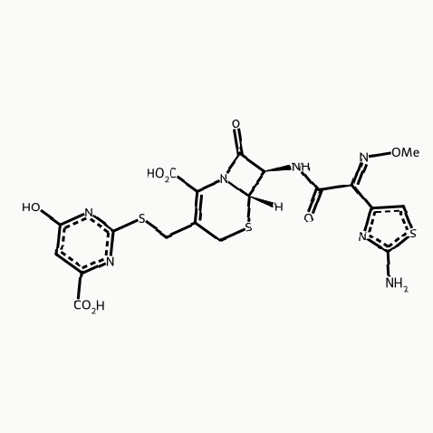 CON=C(C(=O)N[C@@H]1C(=O)N2C(C(=O)O)=C(CSc3nc(O)cc(C(=O)O)n3)CS[C@@H]12)c1csc(N)n1